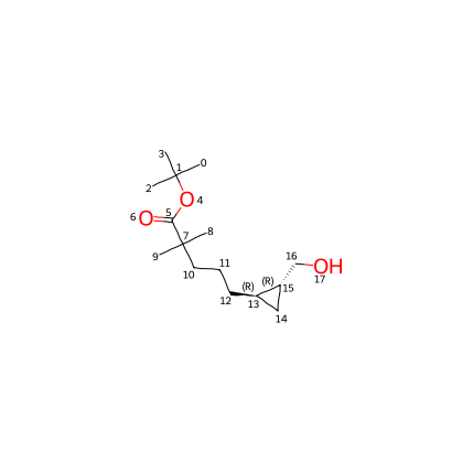 CC(C)(C)OC(=O)C(C)(C)CCC[C@@H]1C[C@H]1CO